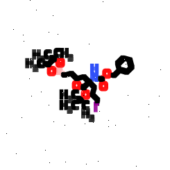 C=C1OB(CCCCC(CCCI)(NC(=O)OCc2ccccc2)C(=O)OC(C)(C)C)OC1(C)C